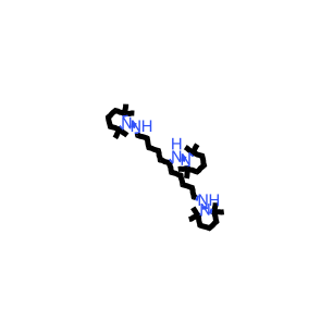 CC1(C)CCCC(C)(C)N1NCCCCCC(CCCCCNN1C(C)(C)CCCC1(C)C)NN1C(C)(C)CCCC1(C)C